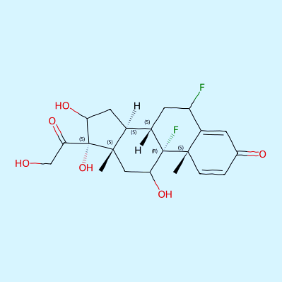 C[C@]12C=CC(=O)C=C1C(F)C[C@H]1[C@@H]3CC(O)[C@](O)(C(=O)CO)[C@@]3(C)CC(O)[C@@]12F